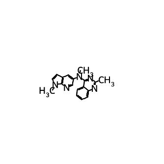 Cc1nc(N(C)c2cnc3c(ccn3C)c2)c2ccccc2n1